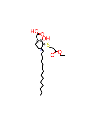 CCCCCCCCCCCCC/C=C1\CC[C@@H](CC(=O)O)[C@@H](O)[C@@H]1SCCC(=O)OCC